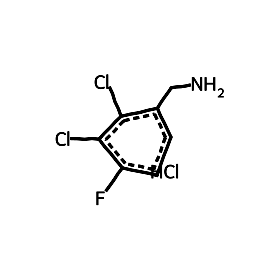 Cl.NCc1ccc(F)c(Cl)c1Cl